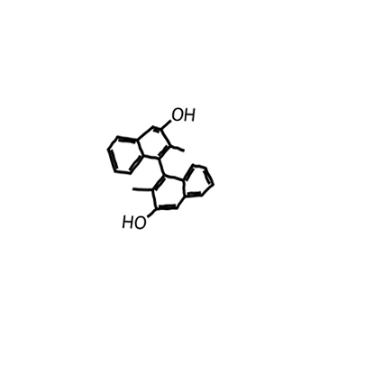 Cc1c(O)cc2ccccc2c1-c1c(C)c(O)cc2ccccc12